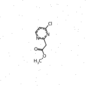 COC(=O)Cc1nccc(Cl)n1